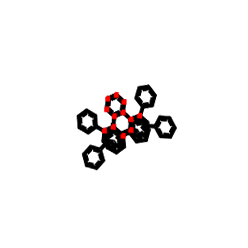 c1ccc(-c2nc(-c3ccccc3)n(-c3ccccc3-c3ccccc3-c3ccccc3-c3ccccc3-n3c(-c4ccccc4)nc(-c4ccccc4)c3-c3ccccc3)c2-c2ccccc2)cc1